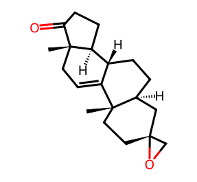 C[C@]12CC[C@]3(CO3)C[C@@H]1CC[C@@H]1C2=CC[C@]2(C)C(=O)CC[C@@H]12